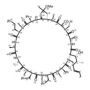 C/C=C/C[C@@H](C)[C@@H](O)[C@H]1C(=O)N[C@H](CC)C(=O)N(C)C(C(=O)O)C(=O)N(C)[C@@H](CC(C)(C)OC)C(=O)N[C@H](C(C)C)C(=O)N(C)[C@H](CCC(C)C)C(=O)N[C@H](C)C(=O)N[C@@H](C)C(=O)N(C)[C@H](CC(C)C)C(=O)N(C)[C@H](CC(C)C)C(=O)N(C)[C@H](C(C)C)C(=O)N1C